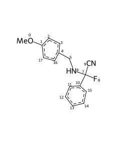 COc1ccc(CNC(F)(C#N)c2ccccc2)cc1